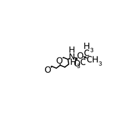 CC(C)(C)OC(=O)NC1CCC(CC=O)OC1